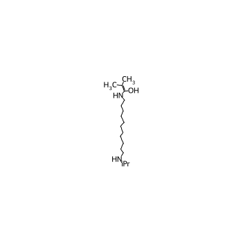 CC(C)=C(O)NCCCCCCCCCCCNC(C)C